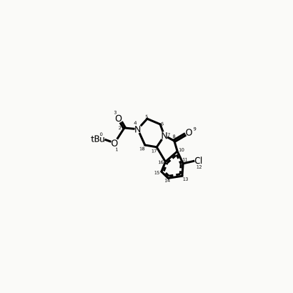 CC(C)(C)OC(=O)N1CCN2C(=O)c3c(Cl)cccc3C2C1